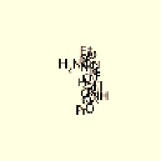 CCOc1nc(N)nc2c1ncn2[C@@H]1O[C@@H]2COP(=O)(NC(C)C(=O)OC(C)C)O[C@H]2[C@@]1(C)F